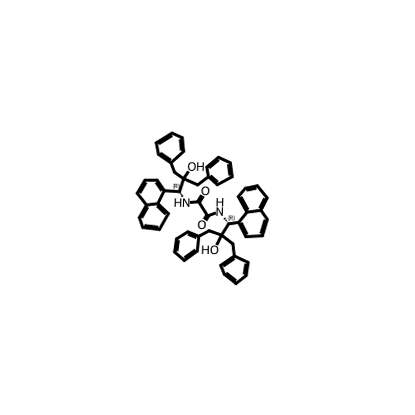 O=C(N[C@H](c1cccc2ccccc12)C(O)(Cc1ccccc1)Cc1ccccc1)C(=O)N[C@H](c1cccc2ccccc12)C(O)(Cc1ccccc1)Cc1ccccc1